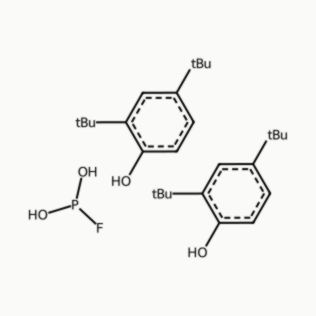 CC(C)(C)c1ccc(O)c(C(C)(C)C)c1.CC(C)(C)c1ccc(O)c(C(C)(C)C)c1.OP(O)F